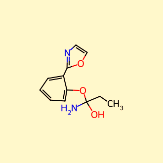 CCC(N)(O)Oc1ccccc1-c1ncco1